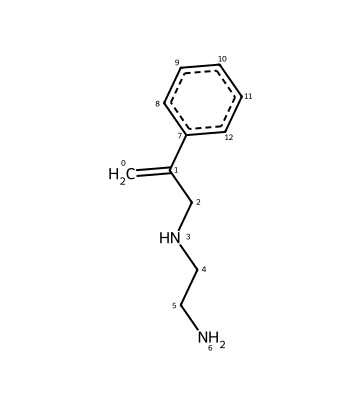 C=C(CNCCN)c1ccccc1